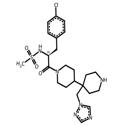 CS(=O)(=O)N[C@@H](Cc1ccc(Cl)cc1)C(=O)N1CCC(C2(Cn3cncn3)CCNCC2)CC1